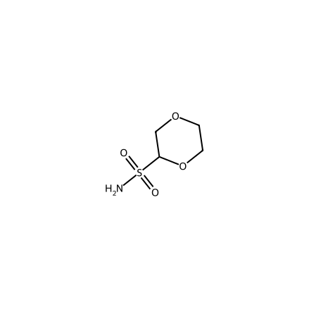 NS(=O)(=O)C1COCCO1